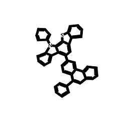 c1ccc(-c2cc3ccccc3c3cc(-c4cc5c6ccccc6sc5c5c4c4ccccc4n5-c4ccccc4)ccc23)cc1